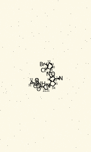 N#Cc1c2c(cc3nc(-c4cccc(Br)c4Cl)oc13)C(N1CC[C@@H](C(=O)NS(=O)(=O)C3CC3)C1)CC2